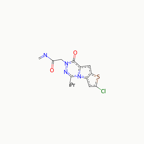 C=NC(=O)Cn1nc(C(C)C)n2c(cc3sc(Cl)cc32)c1=O